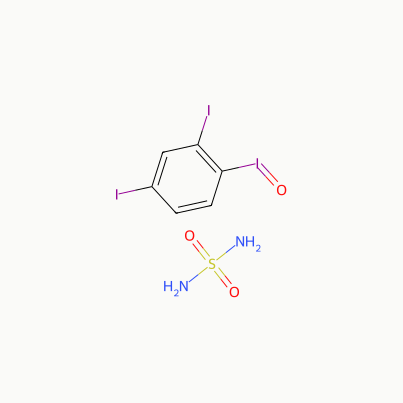 NS(N)(=O)=O.O=Ic1ccc(I)cc1I